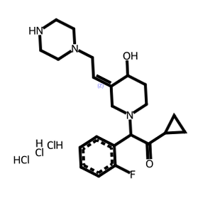 Cl.Cl.Cl.O=C(C1CC1)C(c1ccccc1F)N1CCC(O)/C(=C\CN2CCNCC2)C1